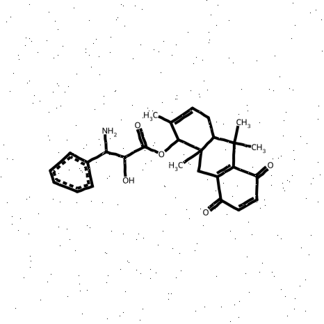 CC1=CCC2C(C)(C)C3=C(CC2(C)C1OC(=O)C(O)C(N)c1ccccc1)C(=O)C=CC3=O